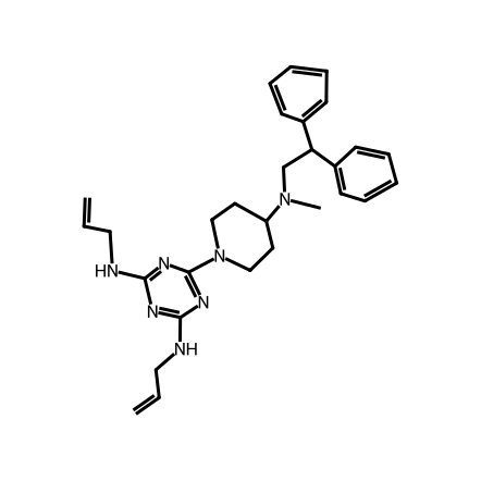 C=CCNc1nc(NCC=C)nc(N2CCC(N(C)CC(c3ccccc3)c3ccccc3)CC2)n1